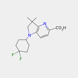 CC1(C)CN(C2CCC(F)(F)CC2)c2ccc(C(=O)O)nc21